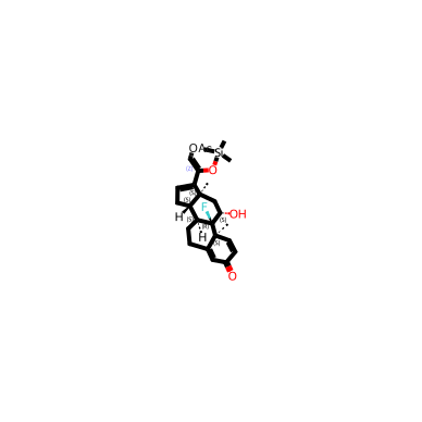 CC(=O)O/C=C(\O[Si](C)(C)C)C1=CC[C@H]2[C@@H]3CCC4=CC(=O)C=C[C@]4(C)[C@@]3(F)[C@@H](O)C[C@]12C